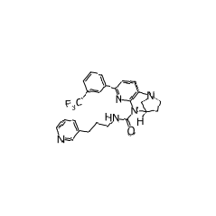 O=C(NCCCc1cccnc1)N1c2nc(-c3cccc(C(F)(F)F)c3)ccc2N2CC[C@H]1C2